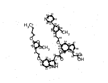 CCCCOc1nc(CCOc2ccc3[nH]cc(CC(=O)O)c3c2)c(C)o1.Cc1sc(-c2cccnc2)nc1CCOc1ccc2c(ccn2CC(=O)O)c1